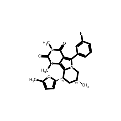 Cc1ccc([C@H]2C[C@@H](C)Cn3c(-c4cccc(F)c4)c4c(=O)n(C)c(=O)n(C)c4c32)o1